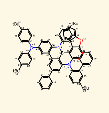 CC(C)(C)c1ccc(N2B3c4c(cc(-c5ccccc5)cc4N(c4ccc(C(C)(C)C)cc4-c4ccccc4)c4ccc5oc6ccccc6c5c43)-c3cc(N(c4ccc(C(C)(C)C)cc4)c4ccc(C(C)(C)C)cc4)ccc32)cc1